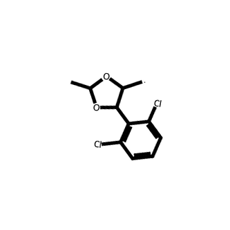 [CH2]C1OC(C)OC1c1c(Cl)cccc1Cl